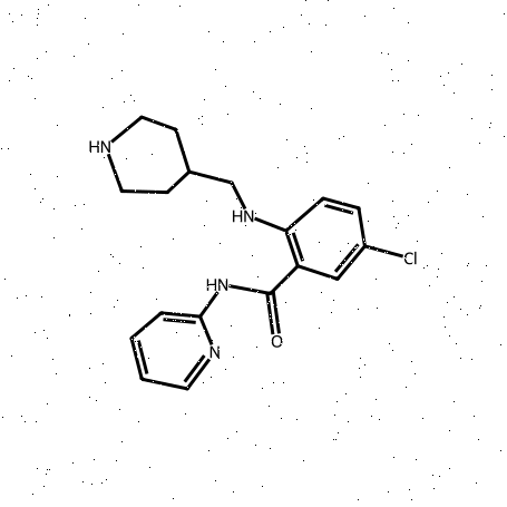 O=C(Nc1ccccn1)c1cc(Cl)ccc1NCC1CCNCC1